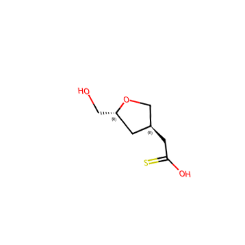 OC[C@H]1C[C@H](CC(O)=S)CO1